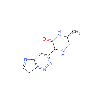 C=C1CNC(c2cc3c(nn2)CC=N3)C(=O)N1